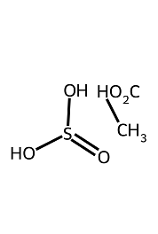 CC(=O)O.O=S(O)O